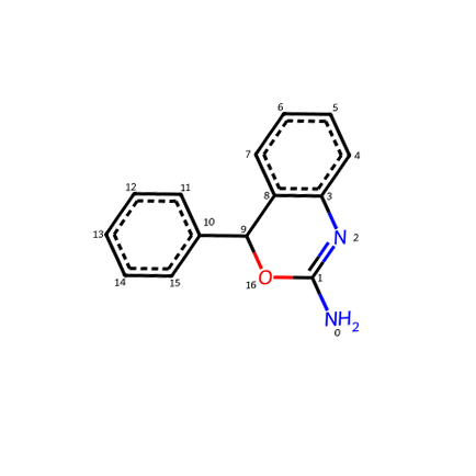 NC1=Nc2ccccc2C(c2ccccc2)O1